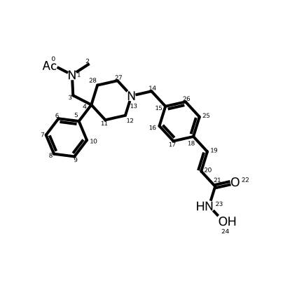 CC(=O)N(C)CC1(c2ccccc2)CCN(Cc2ccc(C=CC(=O)NO)cc2)CC1